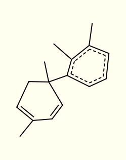 CC1=CCC(C)(c2cccc(C)c2C)C=C1